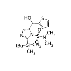 CN(C)S(=O)(=O)n1c(C(O)c2cccs2)cnc1[Si](C)(C)C(C)(C)C